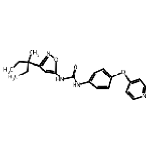 CCC(C)(CC)c1cc(NC(=O)Nc2ccc(Oc3ccncc3)cc2)on1